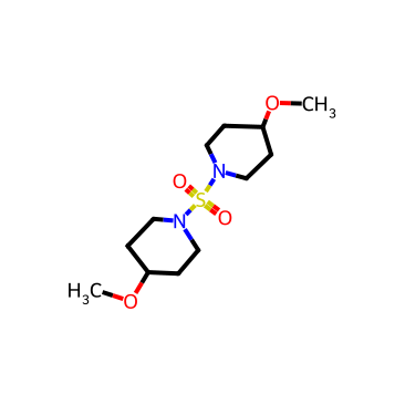 COC1CCN(S(=O)(=O)N2CCC(OC)CC2)CC1